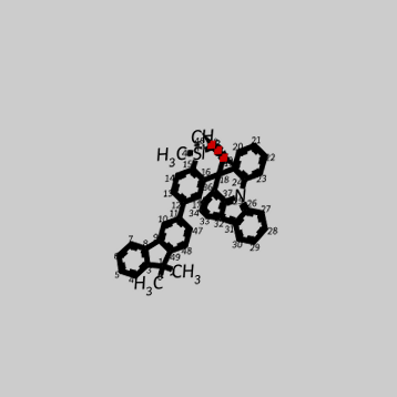 CC1(C)c2ccccc2-c2cc(-c3ccc4c(c3)C3(c5ccccc5-n5c6ccccc6c6cccc3c65)c3ccccc3[Si]4(C)C)ccc21